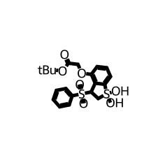 CC(C)(C)OC(=O)COc1cccc2c1C(S(=O)(=O)c1ccccc1)CS2(O)O